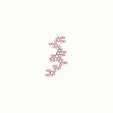 CO[C@@H]([C@@H]1Cc2cc3cc(OC4CC(OC5CC(O)C(O)C(C)O5)C(O)C(C)O4)c(C)c(O)c3c(O)c2C(=O)[C@H]1OC1CC(OCOC(C)C(O)C(C)OC2CC(C)(O)C(O)C(C)O2)C(O)C(C)O1)[C@@H](O)C(C)=O